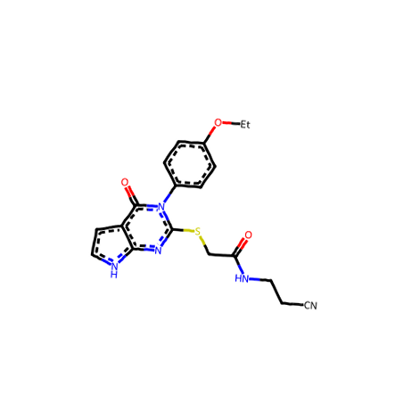 CCOc1ccc(-n2c(SCC(=O)NCCC#N)nc3[nH]ccc3c2=O)cc1